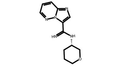 N=C(N[C@H]1CCCOC1)c1cnc2cccnn12